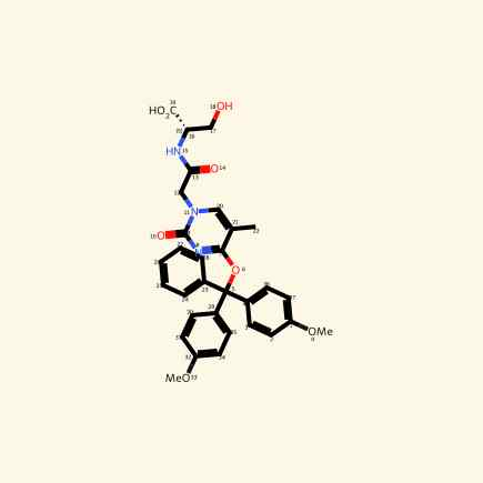 COc1ccc(C(Oc2nc(=O)n(CC(=O)N[C@@H](CO)C(=O)O)cc2C)(c2ccccc2)c2ccc(OC)cc2)cc1